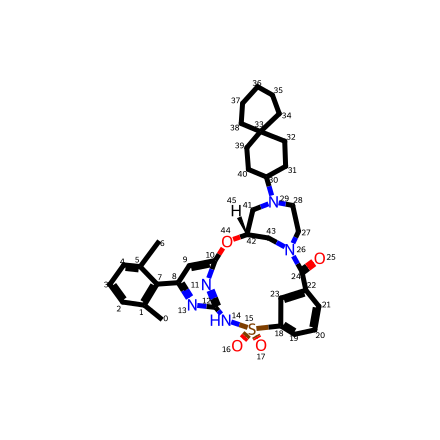 Cc1cccc(C)c1-c1cc2nc(n1)NS(=O)(=O)c1cccc(c1)C(=O)N1CCN(C3CCC4(CCCCC4)CC3)C[C@H](C1)O2